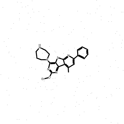 CCOc1nc(N2CCCNCC2)c2sc3nc(-c4ccccc4)cc(C)c3c2n1